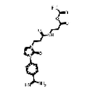 N=C(N)c1ccc(-n2ccn(CCC(=O)NCCC(=O)OC(=O)C(F)(F)F)c2=O)cc1